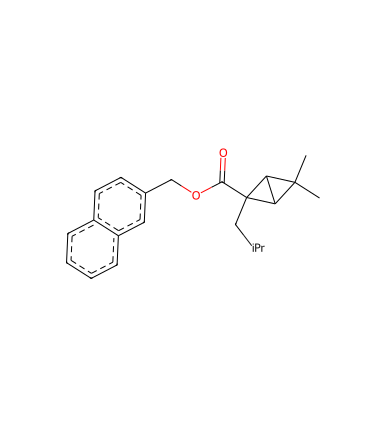 CC(C)CC1(C(=O)OCc2ccc3ccccc3c2)C2C1C2(C)C